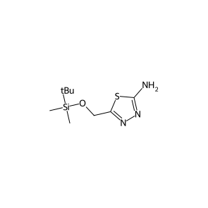 CC(C)(C)[Si](C)(C)OCc1nnc(N)s1